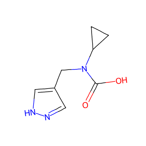 O=C(O)N(Cc1cn[nH]c1)C1CC1